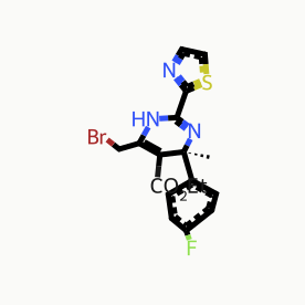 CCOC(=O)C1=C(CBr)NC(c2nccs2)=N[C@@]1(C)c1ccc(F)cc1